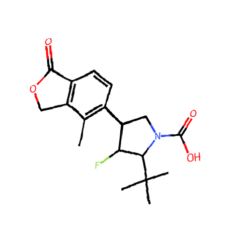 Cc1c(C2CN(C(=O)O)C(C(C)(C)C)C2F)ccc2c1COC2=O